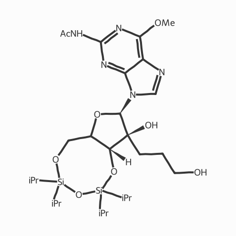 COc1nc(NC(C)=O)nc2c1ncn2[C@@H]1OC2CO[Si](C(C)C)(C(C)C)O[Si](C(C)C)(C(C)C)O[C@H]2[C@@]1(O)CCCO